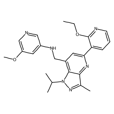 CCOc1ncccc1-c1cc(CNc2cncc(OC)c2)c2c(n1)c(C)nn2C(C)C